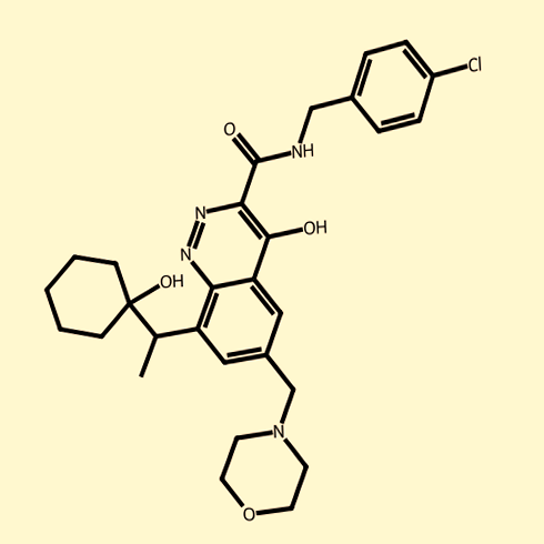 CC(c1cc(CN2CCOCC2)cc2c(O)c(C(=O)NCc3ccc(Cl)cc3)nnc12)C1(O)CCCCC1